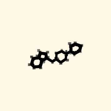 c1ccc(N2CCN(Cc3csc4ccccc34)CC2)nc1